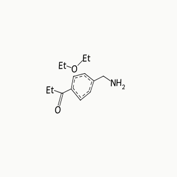 CCC(=O)c1ccc(CN)cc1.CCOCC